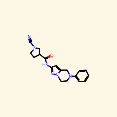 N#CN1CCC(C(=O)Nc2cc3n(n2)CCN(c2ccccc2)C3)C1